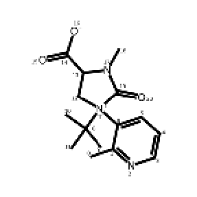 Cc1ncccc1[N+]1(C(C)(C)C)CC(C(=O)[O-])N(C)C1=O